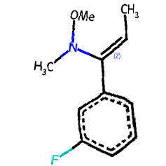 C/C=C(/c1cccc(F)c1)N(C)OC